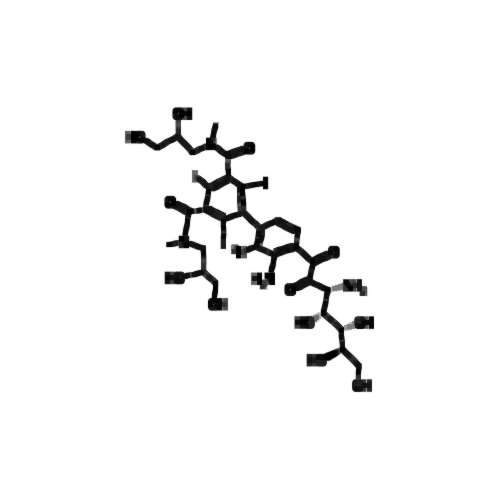 [2H]c1c(-c2c(I)c(C(=O)N(C)CC(O)CO)c(I)c(C(=O)N(C)CC(O)CO)c2I)ccc(C(=O)C(=O)[C@H](N)[C@@H](O)[C@H](O)[C@H](O)CO)c1N